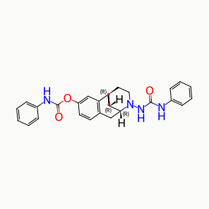 O=C(Nc1ccccc1)NN1CC[C@]23CCCC[C@H]2[C@H]1Cc1ccc(OC(=O)Nc2ccccc2)cc13